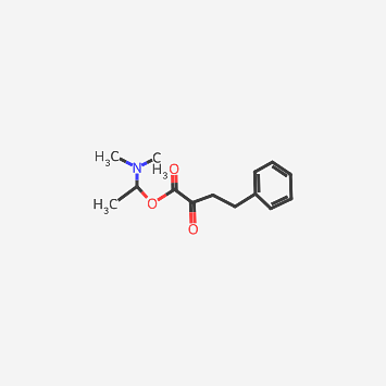 CC(OC(=O)C(=O)CCc1ccccc1)N(C)C